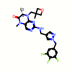 CC[C@H]1C(=O)N(C)c2cnc(NCc3cnn(Cc4cc(F)c(F)c(F)c4)c3)nc2N1CC1(C)COC1